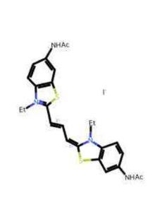 CCN1/C(=C\C=C\c2sc3cc(NC(C)=O)ccc3[n+]2CC)Sc2cc(NC(C)=O)ccc21.[I-]